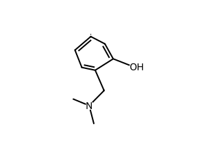 CN(C)Cc1cc[c]cc1O